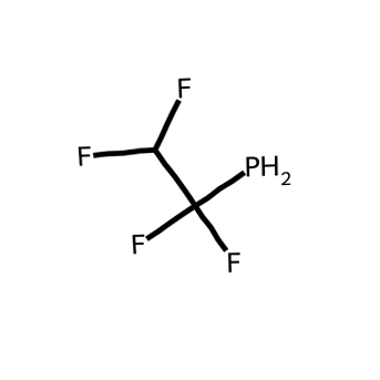 FC(F)C(F)(F)P